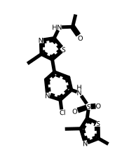 CC(=O)Nc1nc(C)c(-c2cnc(Cl)c(NS(=O)(=O)c3sc(C)nc3C)c2)s1